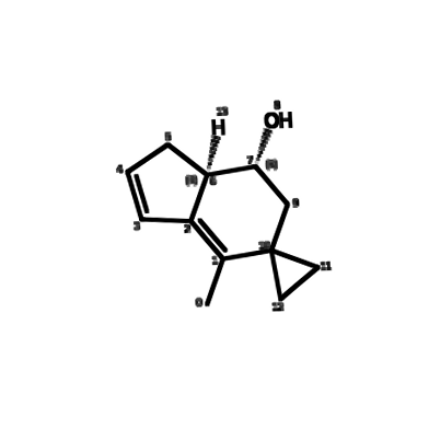 CC1=C2C=CC[C@H]2[C@H](O)CC12CC2